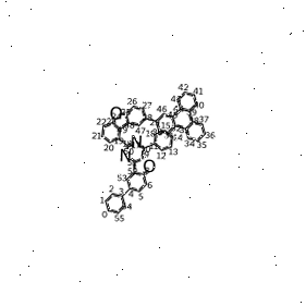 c1ccc(-c2ccc3oc4c(-c5ccccc5)nc(-c5cccc6oc7ccc(-c8ccc9c%10ccccc%10c%10ccccc%10c9c8)cc7c56)nc4c3c2)cc1